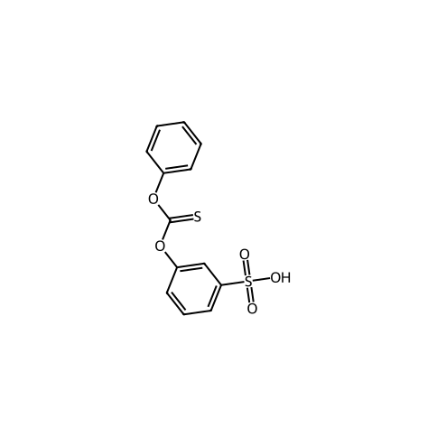 O=S(=O)(O)c1cccc(OC(=S)Oc2ccccc2)c1